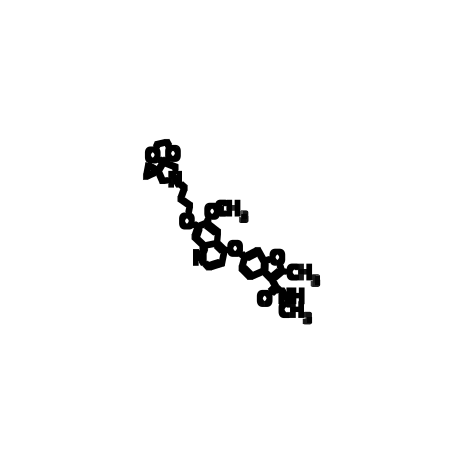 CNC(=O)c1c(C)oc2cc(Oc3ccnc4cc(OCCCN5CC6(CC6)C6(C5)OCCO6)c(OC)cc34)ccc12